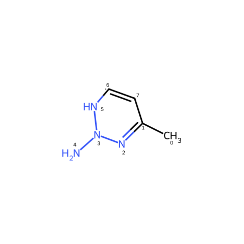 CC1=NN(N)N[C]=C1